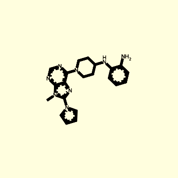 Cn1c(-n2cccc2)nc2c(N3CCC(Nc4ccccc4N)CC3)ncnc21